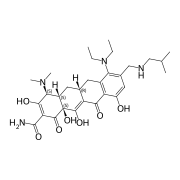 CCN(CC)c1c(CNCC(C)C)cc(O)c2c1C[C@H]1C[C@H]3[C@H](N(C)C)C(O)=C(C(N)=O)C(=O)[C@@]3(O)C(O)=C1C2=O